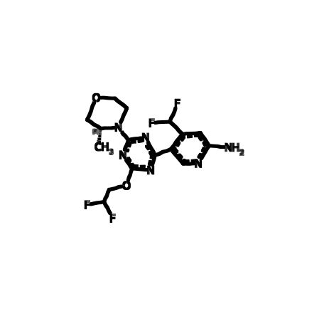 C[C@@H]1COCCN1c1nc(OCC(F)F)nc(-c2cnc(N)cc2C(F)F)n1